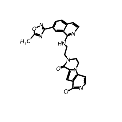 Cc1nc(-c2ccc3ccnc(NCCN4CCn5c(cc6c(Cl)nccc65)C4=O)c3c2)no1